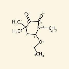 CCOC1CC(C)(C)C(=O)C(=O)N1C